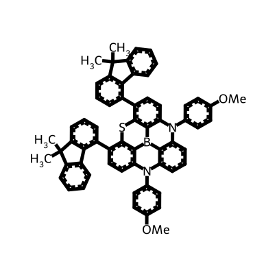 COc1ccc(N2c3cccc4c3B3c5c2ccc(-c2cccc6c2-c2ccccc2C6(C)C)c5Sc2c(-c5cccc6c5-c5ccccc5C6(C)C)ccc(c23)N4c2ccc(OC)cc2)cc1